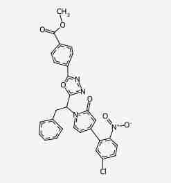 COC(=O)c1ccc(-c2nnc(C(Cc3ccccc3)n3ccc(-c4cc(Cl)ccc4[N+](=O)[O-])cc3=O)o2)cc1